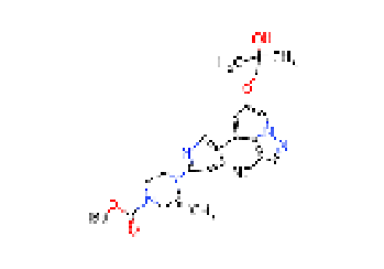 C[C@@H]1CN(C(=O)OC(C)(C)C)CCN1c1ccc(-c2cc(OCC(C)(C)O)cn3ncc(C#N)c23)cn1